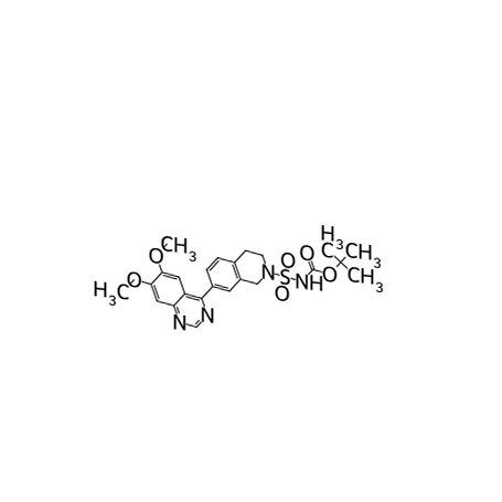 COc1cc2ncnc(-c3ccc4c(c3)CN(S(=O)(=O)NC(=O)OC(C)(C)C)CC4)c2cc1OC